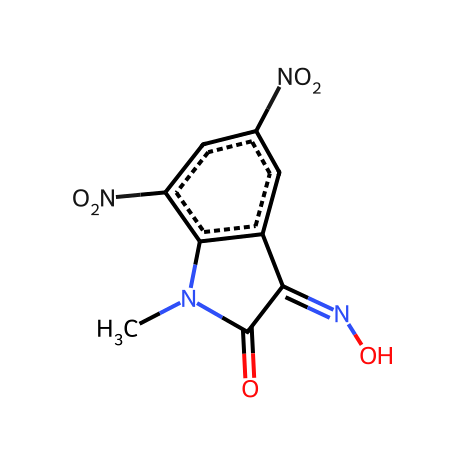 CN1C(=O)C(=NO)c2cc([N+](=O)[O-])cc([N+](=O)[O-])c21